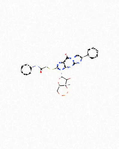 O=C(CSc1nc2c(=O)n3cc(-c4ccccc4)[nH]c3nc2n1[C@@H]1OC2CO[P@@](S)O[C@H]2C1O)Nc1ccccc1